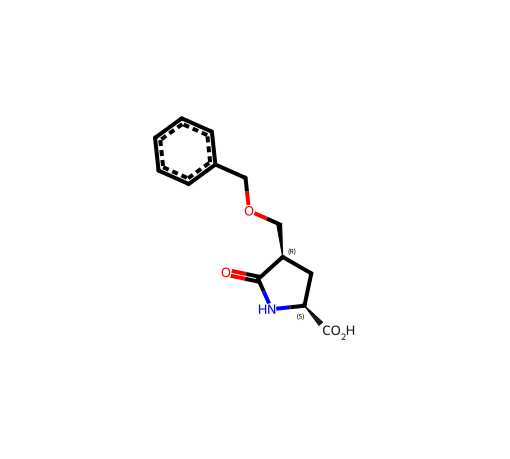 O=C1N[C@H](C(=O)O)C[C@@H]1COCc1ccccc1